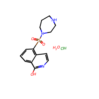 Cl.O.O=S(=O)(c1cccc2c(O)nccc12)N1CCCNCC1